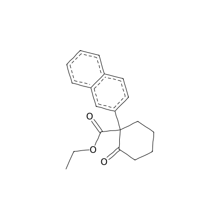 CCOC(=O)C1(c2ccc3ccccc3c2)CCCCC1=O